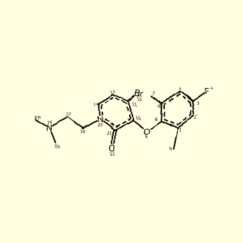 Cc1cc(F)cc(C)c1Oc1c(Br)ccn(CCN(C)C)c1=O